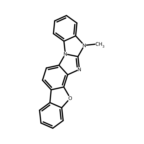 Cn1c2ccccc2n2c3ccc4c5ccccc5oc4c3nc12